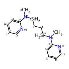 CN([SiH2]CC[SiH2]N(C)c1ccccn1)c1ccccn1